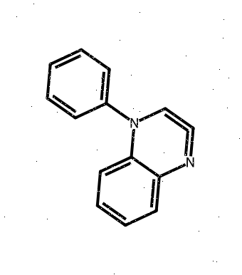 C1=CN(c2ccccc2)c2ccccc2N=1